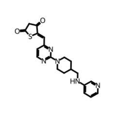 O=C1CC(=O)/C(=C/c2ccnc(N3CCC(CNc4cccnc4)CC3)n2)S1